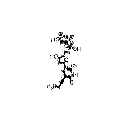 NCC#Cc1cn([C@H]2CC(O)[C@@H](COP(=O)(O)OP(=O)(O)OP(=O)(O)O)O2)c(=O)[nH]c1=O